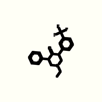 CCN1CC(c2ccccc2)C(=O)C(c2cccc(C(F)(F)F)c2)C1